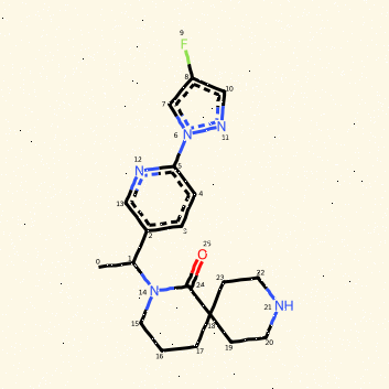 CC(c1ccc(-n2cc(F)cn2)nc1)N1CCCC2(CCNCC2)C1=O